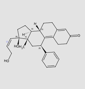 C[C@]12C[C@H](c3ccccc3)C3=C4CCC(=O)C=C4CC[C@H]3[C@@H]1CC[C@@]2(O)/C=C\CO